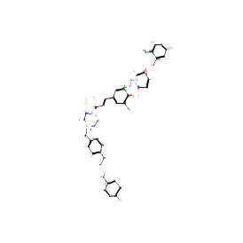 Cc1ccc(COCCc2ccc(CN3CCN(C(=O)C=Cc4cc(C)c(Oc5ccc(OCc6ccccc6Cl)cn5)c(Cl)c4)CC3)cc2)cc1.Cl